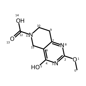 COc1nc(O)c2c(n1)CCN(C(=O)O)C2